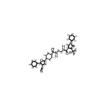 N#Cc1nc(C2CCC(C(=O)NCCNC(=O)c3cn(-c4ccccc4)nc3C(F)(F)F)CC2)oc1-c1ccccc1